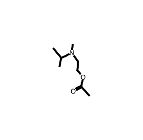 CC(=O)OCCN(C)C(C)C